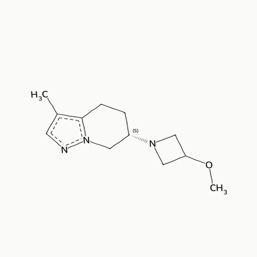 COC1CN([C@H]2CCc3c(C)cnn3C2)C1